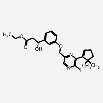 CCOC(=O)C[C@@H](O)c1cccc(OCc2cnc(I)c(C3=CCCC3(C)C)n2)c1